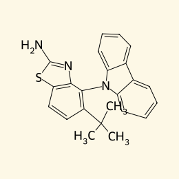 CC(C)(C)c1ccc2sc(N)nc2c1-n1c2ccccc2c2ccccc21